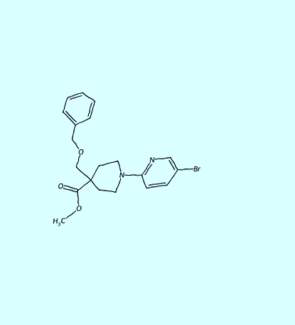 COC(=O)C1(COCc2ccccc2)CCN(c2ccc(Br)cn2)CC1